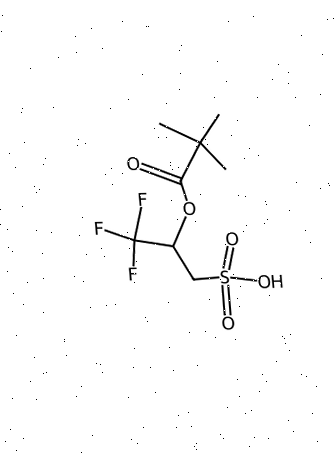 CC(C)(C)C(=O)OC(CS(=O)(=O)O)C(F)(F)F